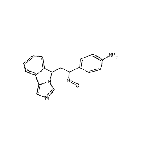 Nc1ccc(C(CC2c3ccccc3-c3cncn32)N=O)cc1